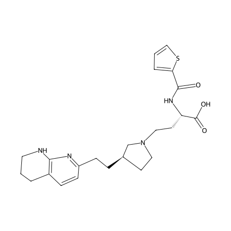 O=C(N[C@@H](CCN1CC[C@@H](CCc2ccc3c(n2)NCCC3)C1)C(=O)O)c1cccs1